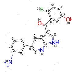 Nc1cccc(-c2cnc3[nH]cc(C(=O)c4cc(O)ccc4F)c3c2)c1